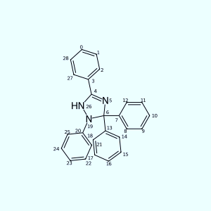 c1ccc(C2=NC(c3ccccc3)(c3ccccc3)N(c3ccccc3)N2)cc1